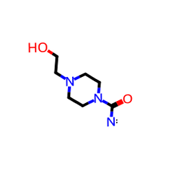 [N]C(=O)N1CCN(CCO)CC1